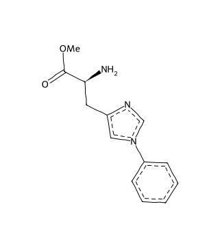 COC(=O)[C@@H](N)Cc1cn(-c2ccccc2)cn1